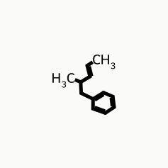 CC=CC(C)Cc1ccccc1